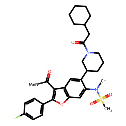 CNC(=O)c1c(-c2ccc(F)cc2)oc2cc(N(C)S(C)(=O)=O)c(C3CCCN(C(=O)CC4CCCCC4)C3)cc12